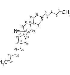 CCCCCCC1CCC(C2CCC(C#N)(C3CCC(CCCCCC)CC3)CC2)CC1